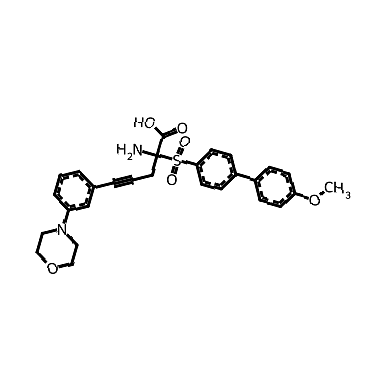 COc1ccc(-c2ccc(S(=O)(=O)C(N)(CC#Cc3cccc(N4CCOCC4)c3)C(=O)O)cc2)cc1